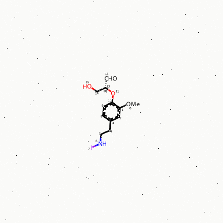 COc1cc(CCNI)ccc1O[C@@H](C=O)CO